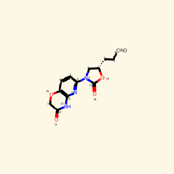 O=CCC[C@H]1CN(c2ccc3c(n2)NC(=O)CO3)C(=O)O1